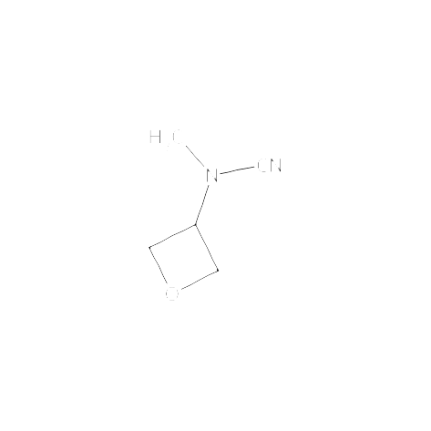 CN(C#N)C1COC1